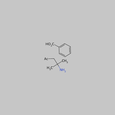 CC(=O)CC(C)(C)N.O=C(O)c1ccccc1